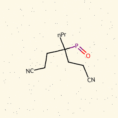 CCCC(CCC#N)(CCC#N)P=O